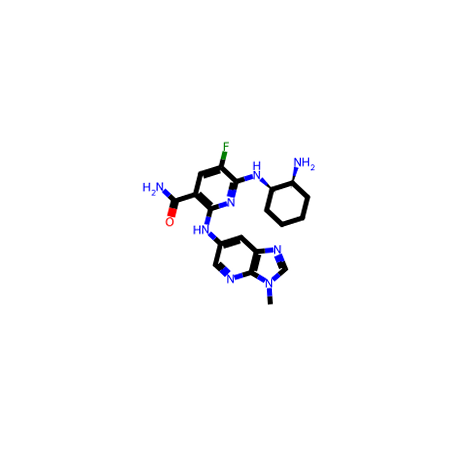 Cn1cnc2cc(Nc3nc(N[C@@H]4CCCC[C@@H]4N)c(F)cc3C(N)=O)cnc21